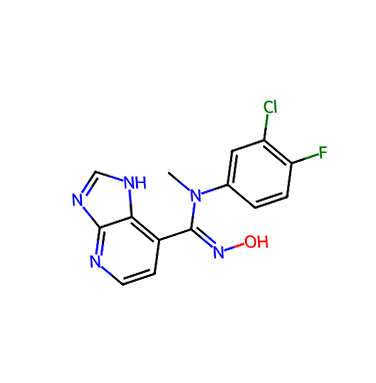 CN(/C(=N\O)c1ccnc2nc[nH]c12)c1ccc(F)c(Cl)c1